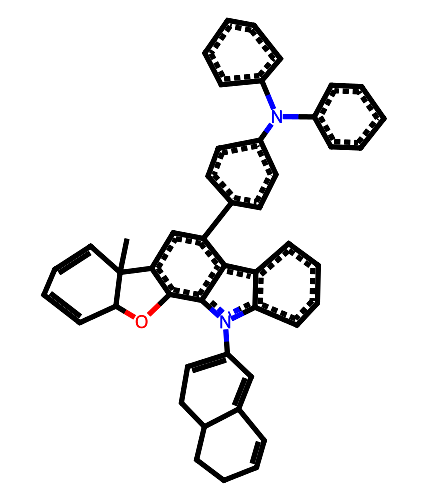 CC12C=CC=CC1Oc1c2cc(-c2ccc(N(c3ccccc3)c3ccccc3)cc2)c2c3ccccc3n(C3=CCC4CCC=CC4=C3)c12